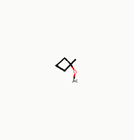 CC(=O)OC1(C)CCC1